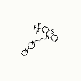 FC(F)(F)c1ccc2c(c1)N(CCCCN1CCC(N3CCCC3)CC1)c1ccccc1S2